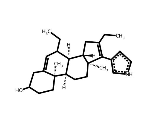 CCC1=C(c2cc[nH]c2)[C@@]2(C)CC[C@@H]3[C@@H](C(CC)C=C4CC(O)CC[C@@]43C)[C@@H]2C1